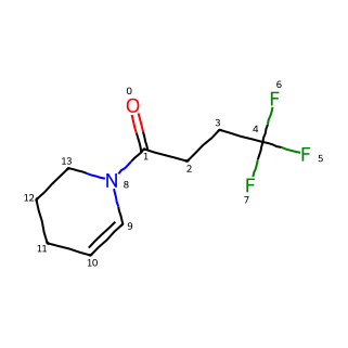 O=C(CCC(F)(F)F)N1C=CCCC1